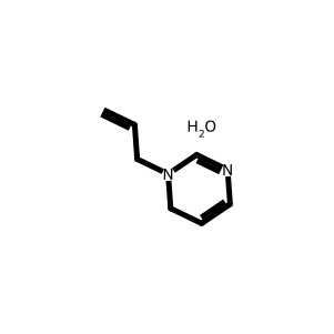 C=CCN1C=NC=CC1.O